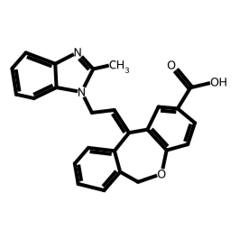 Cc1nc2ccccc2n1C/C=C1\c2ccccc2COc2ccc(C(=O)O)cc21